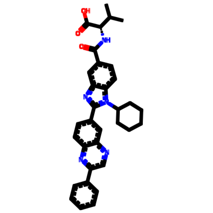 CC(C)[C@H](NC(=O)c1ccc2c(c1)nc(-c1ccc3nc(-c4ccccc4)cnc3c1)n2C1CCCCC1)C(=O)O